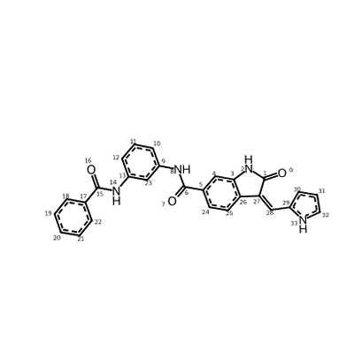 O=C1Nc2cc(C(=O)Nc3cccc(NC(=O)c4ccccc4)c3)ccc2C1=Cc1ccc[nH]1